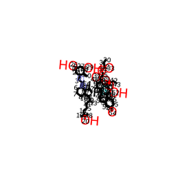 C=C1/C(=C\C=C2/CCC[C@]3(C)[C@@H]([C@H](C)CCCC(C)(C)O)CC[C@@H]23)C[C@@H](O)C[C@@H]1O.CCC(=O)OCC(=O)[C@@]1(OC(=O)CC)[C@@H](C)C[C@H]2[C@@H]3CCC4=CC(=O)C=C[C@]4(C)[C@@]3(F)[C@@H](O)C[C@@]21C